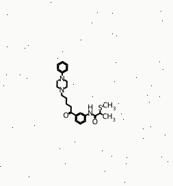 CSC(C)C(=O)Nc1cccc(C(=O)CCCCN2CCN(c3ccccc3)CC2)c1